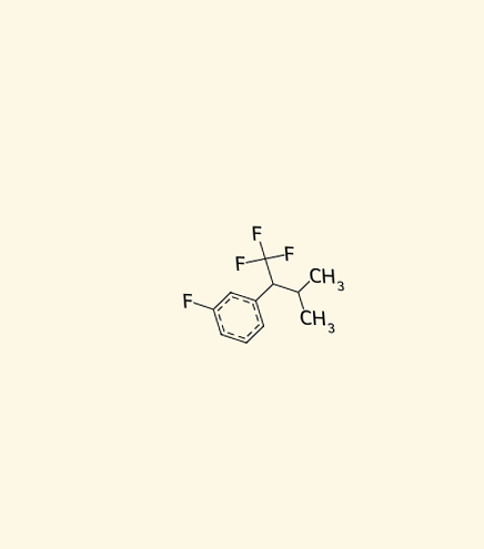 CC(C)C(c1cccc(F)c1)C(F)(F)F